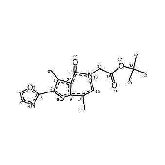 Cc1c(-c2ncco2)sc2c(I)cn(CC(=O)OC(C)(C)C)c(=O)c12